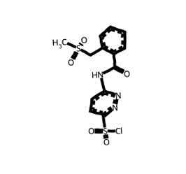 CS(=O)(=O)Cc1ccccc1C(=O)Nc1ccc(S(=O)(=O)Cl)nn1